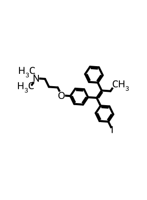 CC/C(=C(\c1ccc(I)cc1)c1ccc(OCCCN(C)C)cc1)c1ccccc1